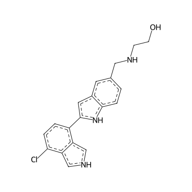 OCCNCc1ccc2[nH]c(-c3ccc(Cl)c4c[nH]cc34)cc2c1